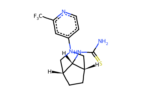 NC(=S)N[C@H]1[C@@H]2CC[C@H]1CN(c1ccnc(C(F)(F)F)c1)C2